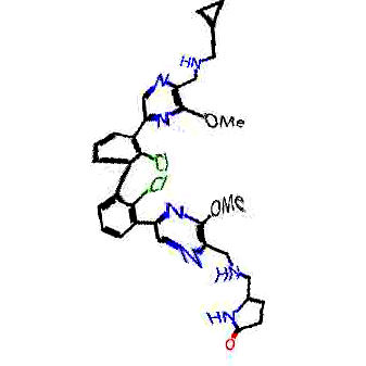 COc1nc(-c2cccc(-c3cccc(-c4cnc(CNCC5CCC(=O)N5)c(OC)n4)c3Cl)c2Cl)cnc1CNCC1CC1